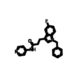 O=C(CCc1cn(Cc2ccccc2)c2ccc(F)cc12)Nc1ccncc1